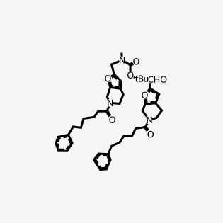 CN(Cc1cc2c(o1)CN(C(=O)CCCCCc1ccccc1)CC2)C(=O)OC(C)(C)C.O=Cc1cc2c(o1)CN(C(=O)CCCCCc1ccccc1)CC2